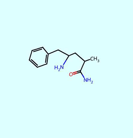 CC(CC(N)Cc1ccccc1)C(N)=O